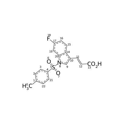 Cc1ccc(S(=O)(=O)n2cc(C=CC(=O)O)c3ccc(F)cc32)cc1